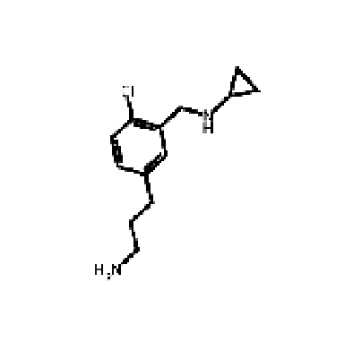 NCCCc1ccc(Cl)c(CN[C]2CC2)c1